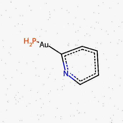 [PH2][Au][c]1ccccn1